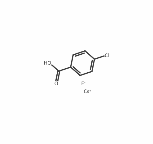 O=C(O)c1ccc(Cl)cc1.[Cs+].[F-]